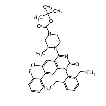 CCc1cccc(CC)c1-n1c(=O)nc(N2CCN(C(=O)OC(C)(C)C)C[C@@H]2C)c2cc(Cl)c(-c3ccccc3F)cc21